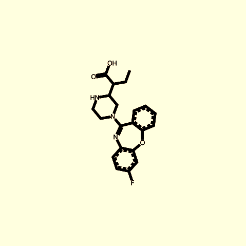 CCC(C(=O)O)C1CN(C2=Nc3ccc(F)cc3Oc3ccccc32)CCN1